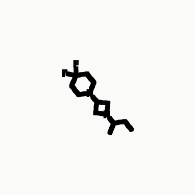 CCC(C)N1CC(N2CCC(F)(F)CC2)C1